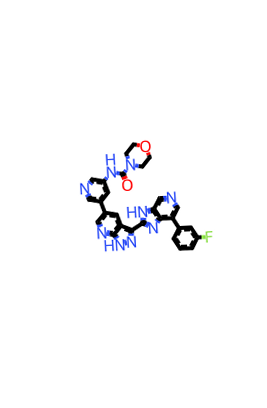 O=C(Nc1cncc(-c2cnc3[nH]nc(-c4nc5c(-c6cccc(F)c6)cncc5[nH]4)c3c2)c1)N1CCOCC1